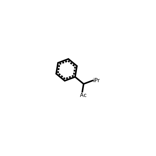 CC(=O)C(c1ccccc1)C(C)C